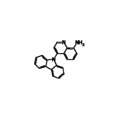 Nc1cccc2c(-n3c4ccccc4c4ccccc43)ccnc12